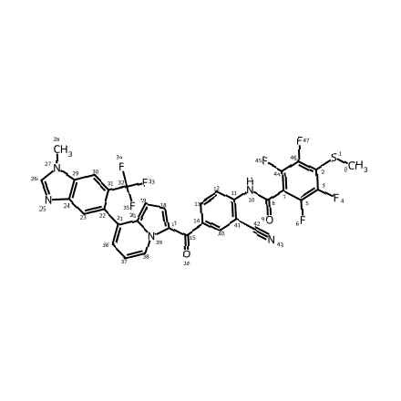 CSc1c(F)c(F)c(C(=O)Nc2ccc(C(=O)c3ccc4c(-c5cc6ncn(C)c6cc5C(F)(F)F)cccn34)cc2C#N)c(F)c1F